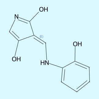 OC1=CN=C(O)/C1=C/Nc1ccccc1O